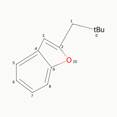 CC(C)(C)Cc1cc2ccccc2o1